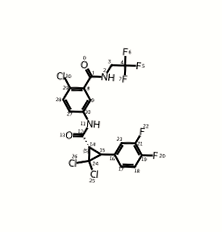 O=C(NCC(F)(F)F)c1cc(NC(=O)[C@@H]2C(c3ccc(F)c(F)c3)C2(Cl)Cl)ccc1Cl